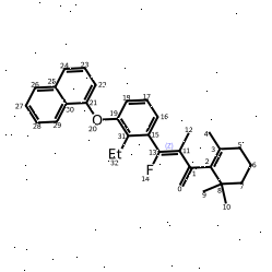 C=C(C1=C(C)CCCC1(C)C)/C(C)=C(\F)c1cccc(Oc2cccc3ccccc23)c1CC